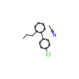 CC#N.CCCc1ccccc1-c1ccc(Cl)cc1